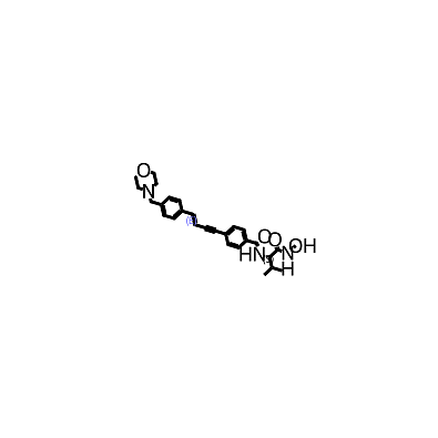 CC(C)[C@H](NC(=O)c1ccc(C#C/C=C/c2ccc(CN3CCOCC3)cc2)cc1)C(=O)NO